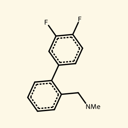 CNCc1ccccc1-c1ccc(F)c(F)c1